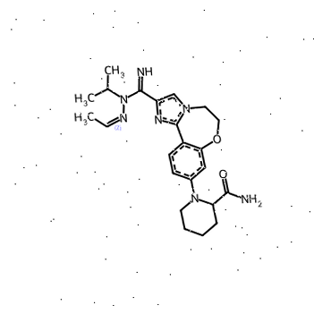 C/C=N\N(C(=N)c1cn2c(n1)-c1ccc(N3CCCCC3C(N)=O)cc1OCC2)C(C)C